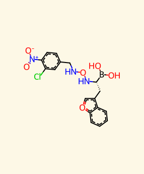 O=[N+]([O-])c1ccc(CNON[C@@H](Cc2coc3ccccc23)B(O)O)cc1Cl